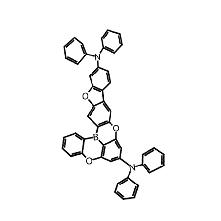 c1ccc(N(c2ccccc2)c2cc3c4c(c2)Oc2cc5c(cc2B4c2ccccc2O3)oc2cc(N(c3ccccc3)c3ccccc3)ccc25)cc1